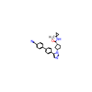 CC1(NC(=O)[C@H]2CC[C@@H](n3cncc3-c3ccc(-c4ccc(C#N)cc4)cc3)C2)CC1